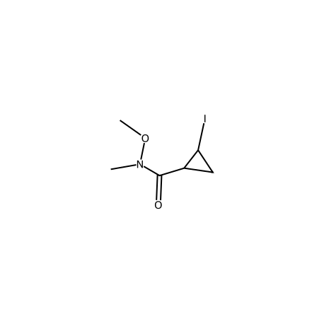 CON(C)C(=O)C1CC1I